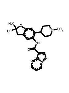 CN1CCC(c2cc3c(cc2NC(=O)c2cnn4cccnc24)CC(C)(C)O3)CC1